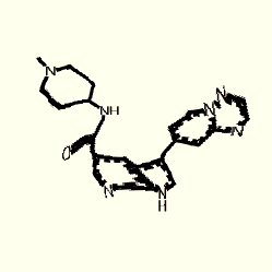 CN1CCC(NC(=O)c2cnc3[nH]cc(-c4ccn5ncnc5c4)c3c2)CC1